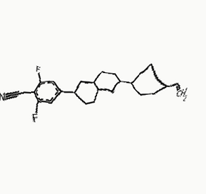 C=CC1CCC(C2CCC3CC(c4cc(F)c(C#N)c(F)c4)CCC3C2)CC1